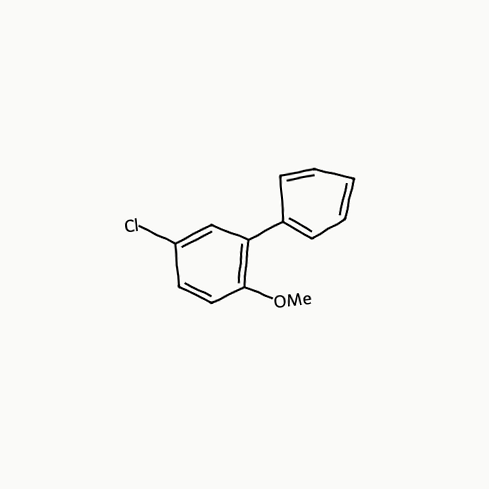 [CH2]Oc1ccc(Cl)cc1-c1ccccc1